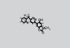 CN(c1ccc(-c2cc3oc(=O)n(C)c3cc2O)nn1)[C@@H]1CCCC[C@@H]1F